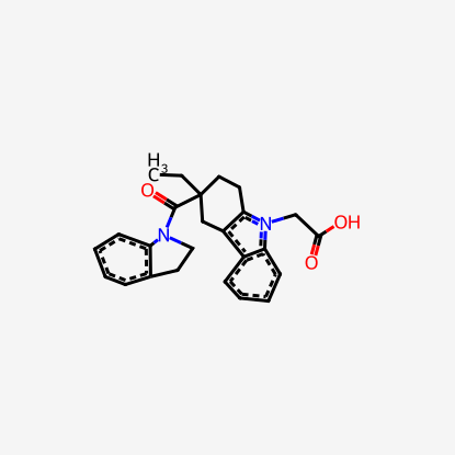 CCC1(C(=O)N2CCc3ccccc32)CCc2c(c3ccccc3n2CC(=O)O)C1